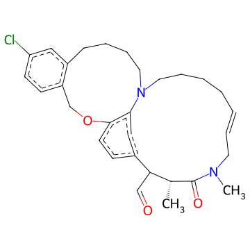 C[C@H]1C(=O)N(C)C/C=C/CCCCN2CCCCc3cc(Cl)ccc3COc3ccc(cc32)C1C=O